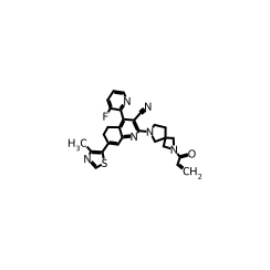 C=CC(=O)N1CC2(CCN(c3nc4c(c(-c5ncccc5F)c3C#N)CCC(c3scnc3C)=C4)C2)C1